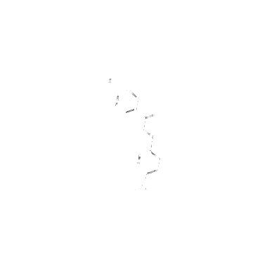 C=Cc1ccc(C(=O)/C=C/c2ccc(N(CC)CC)cc2)cc1